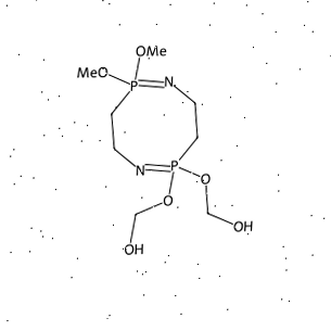 COP1(OC)=NCCP(OCO)(OCO)=NCC1